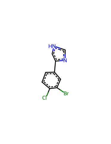 Clc1ccc(-c2c[nH]cn2)cc1Br